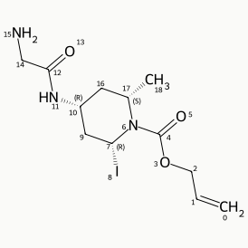 C=CCOC(=O)N1[C@H](I)C[C@H](NC(=O)CN)C[C@@H]1C